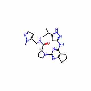 CC(C)c1cc(Nc2nc(N3CCC[C@H]3C(=O)NCc3ccnn3C)nc3c2CCC3)n[nH]1